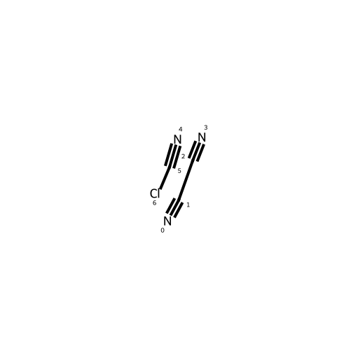 N#CC#N.N#CCl